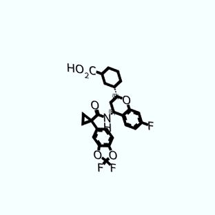 O=C(O)C1CCCC([C@H]2C[C@@H](NC(=O)C3(c4ccc5c(c4)OC(F)(F)O5)CC3)c3ccc(F)cc3O2)C1